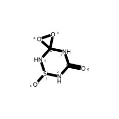 O=C1N[S+]([O-])NC2(N1)OO2